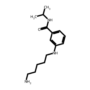 CC(C)NC(=O)c1cccc(NCCCCCN)c1